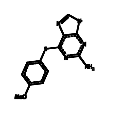 COc1ccc(Sc2nc(N)nc3c2N=C[N]3)cc1